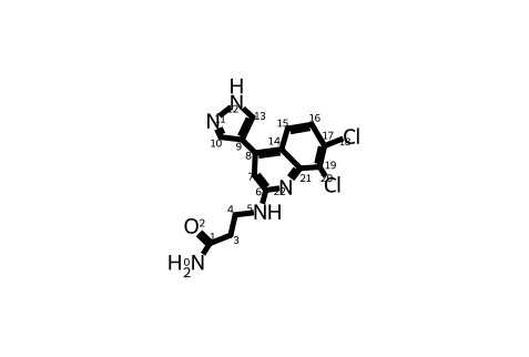 NC(=O)CCNc1cc(-c2cn[nH]c2)c2ccc(Cl)c(Cl)c2n1